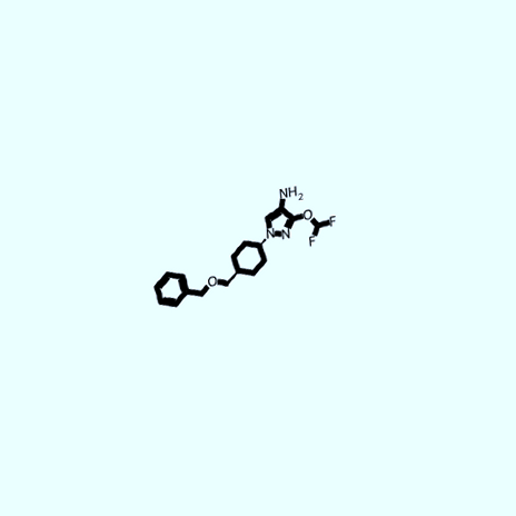 Nc1cn([C@H]2CC[C@H](COCc3ccccc3)CC2)nc1OC(F)F